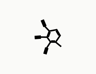 C#Cc1ccc(C)c(C#C)c1C#C